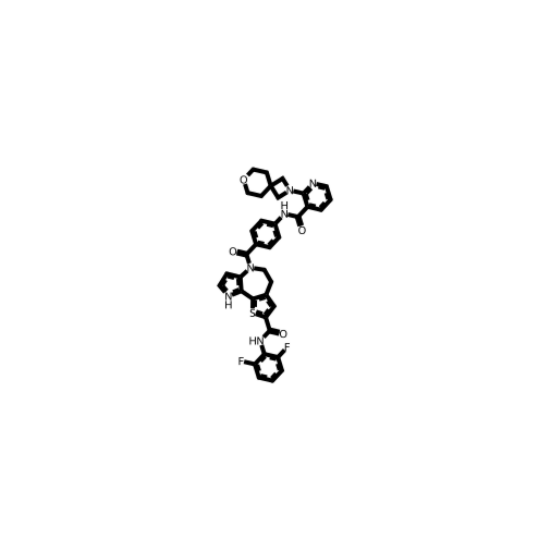 O=C(Nc1c(F)cccc1F)c1cc2c(s1)-c1[nH]ccc1N(C(=O)c1ccc(NC(=O)c3cccnc3N3CC4(CCOCC4)C3)cc1)CC2